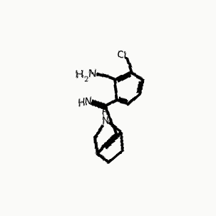 N=C(C1=CC2CCC1NC2)c1cccc(Cl)c1N